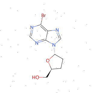 OC[C@@H]1CC[C@@H](n2cnc3c(Br)ncnc32)O1